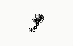 N#Cc1ccc(-c2ccc(C[C@@H](C#N)NC(=O)[C@@H]3CNCCCO3)c(F)c2)cc1